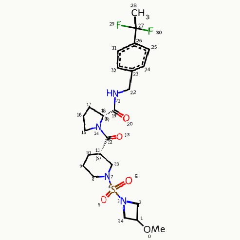 COC1CN(S(=O)(=O)N2CCC[C@H](C(=O)N3CCC[C@@H]3C(=O)NCc3ccc(C(C)(F)F)cc3)C2)C1